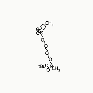 Cc1ccc(S(=O)(=O)OCCOCCOCCOCCOCCN(C)C(=O)OC(C)(C)C)cc1